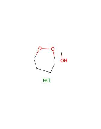 C1CCOOC1.CO.Cl